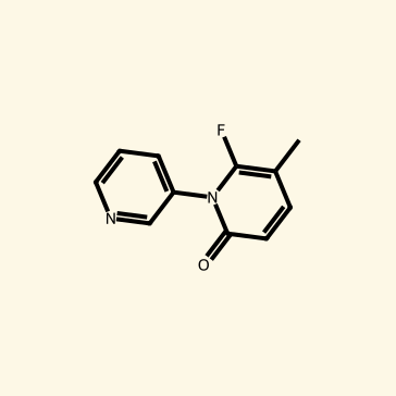 Cc1ccc(=O)n(-c2cccnc2)c1F